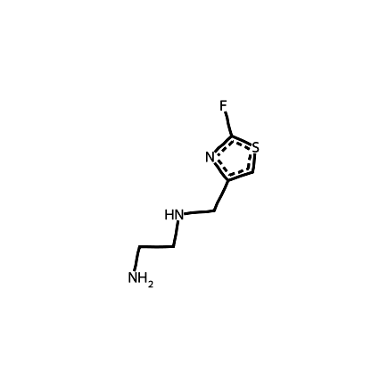 NCCNCc1csc(F)n1